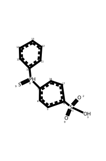 O=S(=O)(O)c1ccc([PH](=S)c2ccccc2)cc1